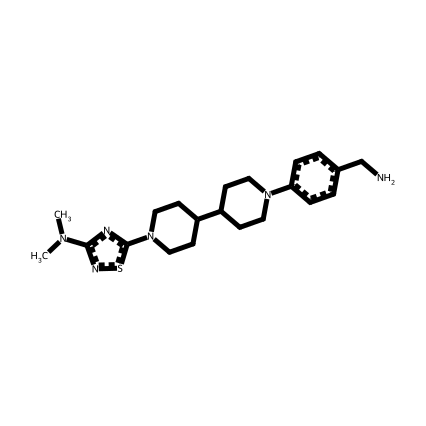 CN(C)c1nsc(N2CCC(C3CCN(c4ccc(CN)cc4)CC3)CC2)n1